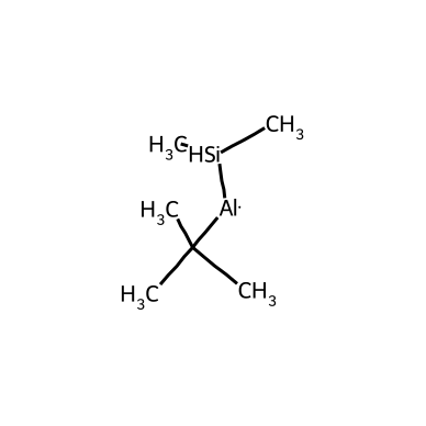 C[SiH](C)[Al][C](C)(C)C